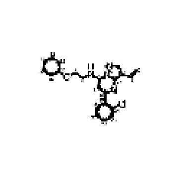 C=Cc1cnn2c(NCCOc3ccccc3)cc(-c3ccccc3Cl)nc12